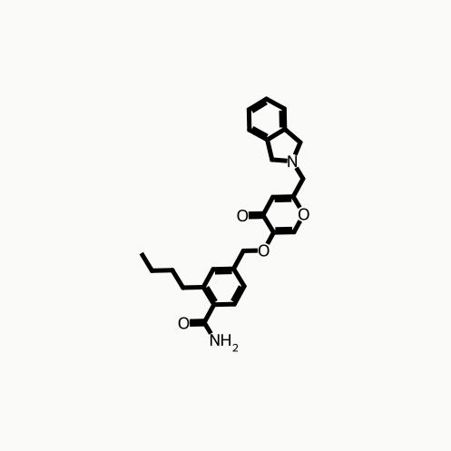 CCCCc1cc(COc2coc(CN3Cc4ccccc4C3)cc2=O)ccc1C(N)=O